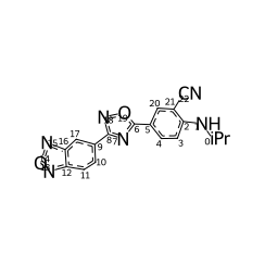 CC(C)Nc1ccc(-c2nc(-c3ccc4nonc4c3)no2)cc1C#N